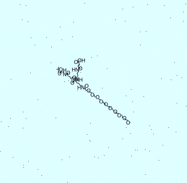 COCCOCCOCCOCCOCCOCCOCCOCCOCCOCC(=O)NCCCCC(NC(=O)CCCNC(=O)C=CC(=O)O)C(=O)NCCCC(=O)NCC(=O)OC(C)(C)C